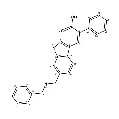 O=C(O)C(=Cc1c[nH]c2nc(CNCc3ccccc3)ccc12)c1ccccc1